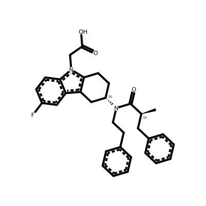 C[C@@H](Cc1ccccc1)C(=O)N(CCc1ccccc1)[C@H]1CCc2c(c3cc(F)ccc3n2CC(=O)O)C1